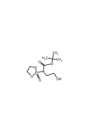 CC(C)(C)OC(=O)N(CCO)P1(=O)OCCO1